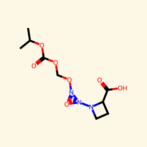 CC(C)OC(=O)OCOn1on1N1CCC1C(=O)O